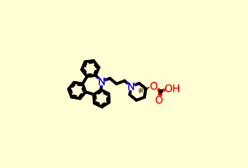 O=C(O)O[C@@H]1CCCN(CCCN2c3ccccc3-c3ccccc3-c3ccccc32)C1